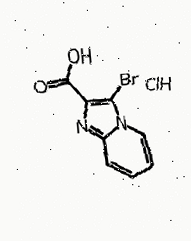 Cl.O=C(O)c1nc2ccccn2c1Br